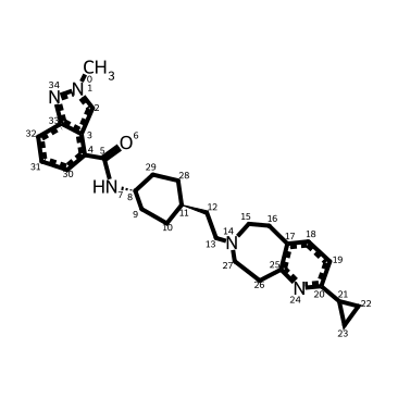 Cn1cc2c(C(=O)N[C@H]3CC[C@H](CCN4CCc5ccc(C6CC6)nc5CC4)CC3)cccc2n1